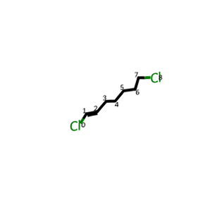 Cl/C=C/CCCCCCl